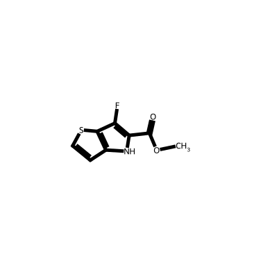 COC(=O)c1[nH]c2ccsc2c1F